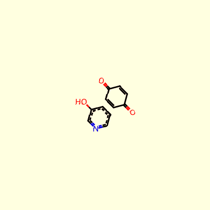 O=C1C=CC(=O)C=C1.Oc1cccnc1